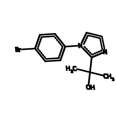 CC(C)(O)c1nccn1-c1ccc(Br)cc1